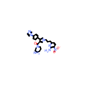 N.Nc1nc(CCCn2cc(C(=O)N3CCCCCC3)c(-c3ccc(-n4ccnc4)cc3)c2)ccc1[N+](=O)[O-]